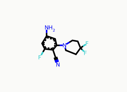 N#Cc1c(F)cc(N)cc1N1CCC(F)(F)CC1